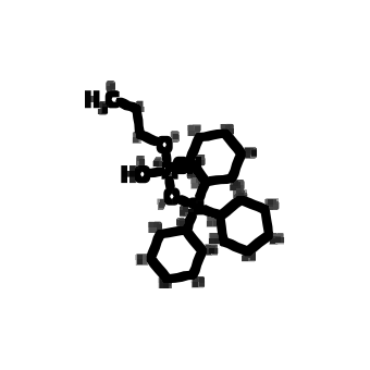 CCC[O][Zr]([OH])([OH])[O][Si](C1CCCCC1)(C1CCCCC1)C1CCCCC1